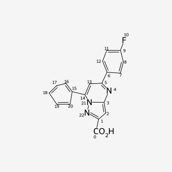 O=C(O)c1cc2nc(-c3ccc(F)cc3)cc(-c3ccccc3)n2n1